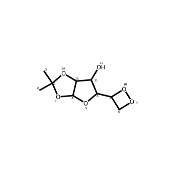 CC1(C)OC2OC(C3COO3)C(O)C2O1